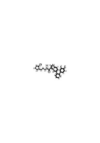 Cc1cc(-c2ncccc2-c2ccc3ncc(C(=O)NCCCN4CCCC4=O)n3c2)ccc1F